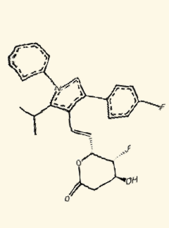 CC(C)c1c(/C=C/[C@H]2OC(=O)C[C@H](O)[C@H]2F)c(-c2ccc(F)cc2)cn1-c1ccccc1